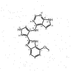 COc1cccc2nc(-c3n[nH]cc3Nc3ncnc4[nH]ccc34)[nH]c12